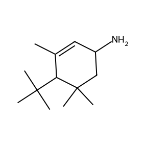 CC1=CC(N)CC(C)(C)C1C(C)(C)C